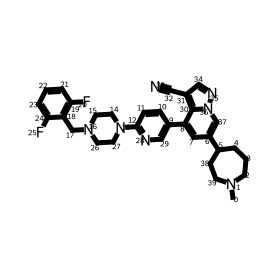 CN1CCCC(c2cc(-c3ccc(N4CCN(Cc5c(F)cccc5F)CC4)nc3)c3c(C#N)cnn3c2)CC1